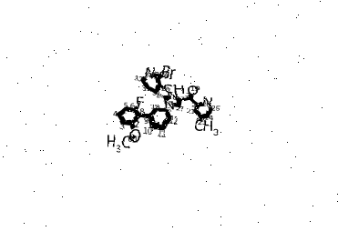 COc1cccc(F)c1-c1cccc(-n2cnc(C(=O)c3cc(C)ccn3)c2)c1.Cc1cccnc1Br